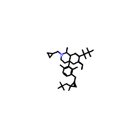 CCC1CC2(c3c(C)ccc(CC4=CC4(C)CC(C)(C)C)c3C)CCN(CC3CC3)C(C)C2CC1C(C)(C)C(C)(C)C